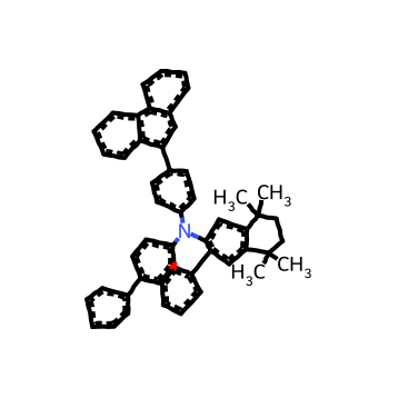 CC1(C)CCC(C)(C)c2cc(N(c3ccc(-c4ccccc4)cc3)c3ccc(-c4cc5ccccc5c5ccccc45)cc3)c(-c3ccccc3)cc21